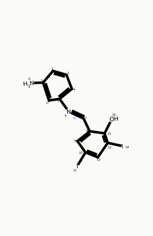 Nc1cccc(/N=C/c2cc(I)cc(I)c2O)c1